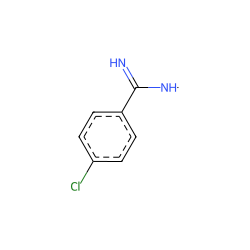 [NH]C(=N)c1ccc(Cl)cc1